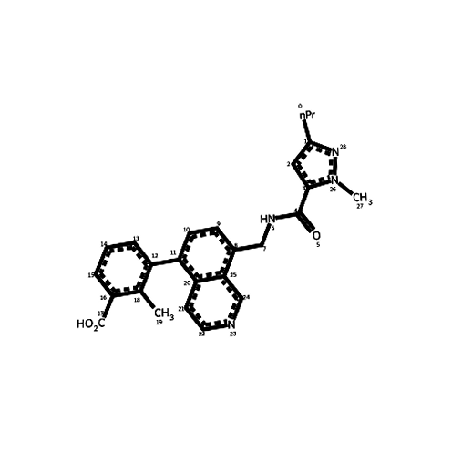 CCCc1cc(C(=O)NCc2ccc(-c3cccc(C(=O)O)c3C)c3ccncc23)n(C)n1